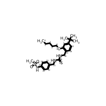 CCCCCOc1cc(C(C)(C)C)ccc1CNC(=S)NCc1ccc(NS(C)(=O)=O)cc1